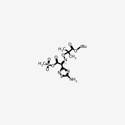 CC(C)(C)OC(=O)C(C)(C)O/N=C(\C(=O)OS(C)(=O)=O)c1nsc(N)n1